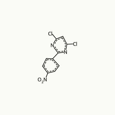 O=[N+]([O-])c1ccc(-c2nc(Cl)cc(Cl)n2)cc1